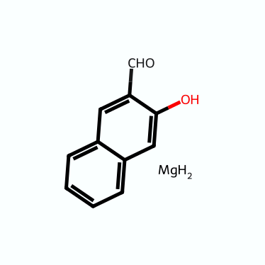 O=Cc1cc2ccccc2cc1O.[MgH2]